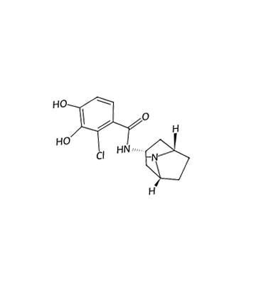 CN1[C@@H]2CC[C@H]1C[C@@H](NC(=O)c1ccc(O)c(O)c1Cl)C2